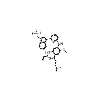 C=CC(O)Nc1cc(Nc2nccc(-c3cn(CC(F)(F)F)c4ccccc34)n2)c(OC)cc1N(C)CCN(C)C